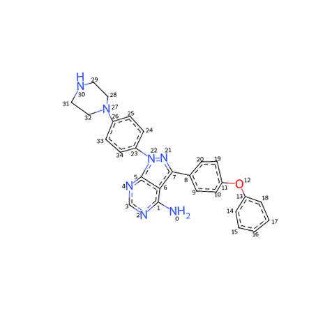 Nc1ncnc2c1c(-c1ccc(Oc3ccccc3)cc1)nn2-c1ccc(N2CCNCC2)cc1